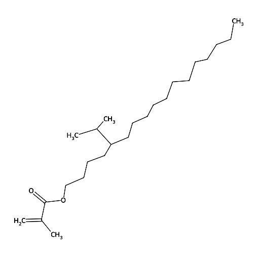 C=C(C)C(=O)OCCCCC(CCCCCCCCCCCC)C(C)C